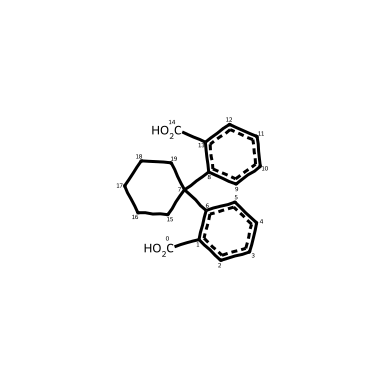 O=C(O)c1ccccc1C1(c2ccccc2C(=O)O)CCCCC1